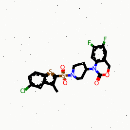 Cc1c(S(=O)(=O)N2CCC(N3C(=O)OCc4cc(F)c(F)cc43)CC2)sc2ccc(Cl)cc12